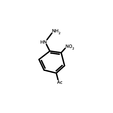 CC(=O)c1ccc(NN)c([N+](=O)[O-])c1